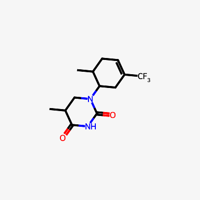 CC1CN(C2CC(C(F)(F)F)=CCC2C)C(=O)NC1=O